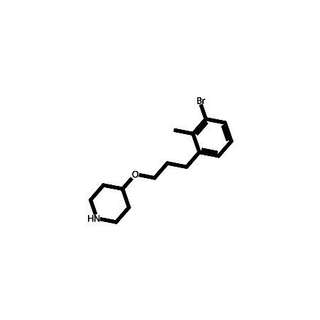 Cc1c(Br)cccc1CCCOC1CCNCC1